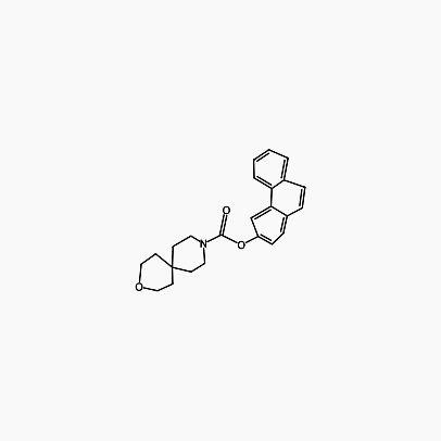 O=C(Oc1ccc2ccc3ccccc3c2c1)N1CCC2(CCOCC2)CC1